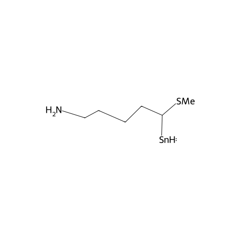 CS[CH]([SnH])CCCCN